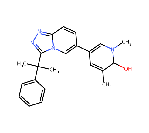 CC1=CC(c2ccc3nnc(C(C)(C)c4ccccc4)n3c2)=CN(C)C1O